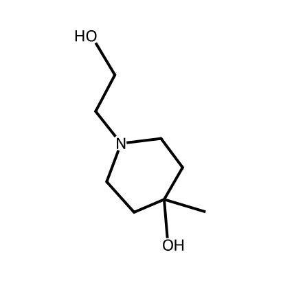 CC1(O)CCN(CCO)CC1